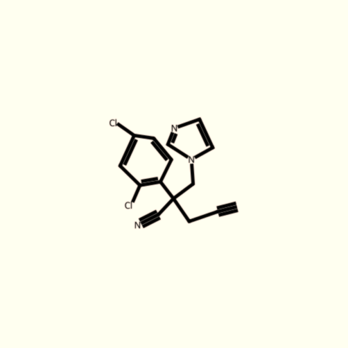 C#CCC(C#N)(Cn1ccnc1)c1ccc(Cl)cc1Cl